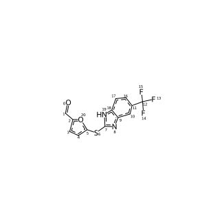 O=Cc1ccc(Sc2nc3cc(C(F)(F)F)ccc3[nH]2)o1